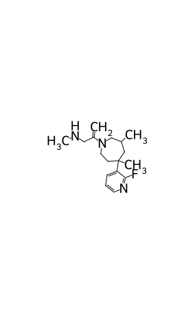 C=C(CNC)N1CCC(C)(c2cccnc2F)CC(C)C1